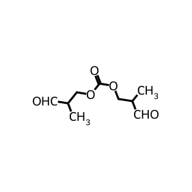 CC(C=O)COC(=O)OCC(C)C=O